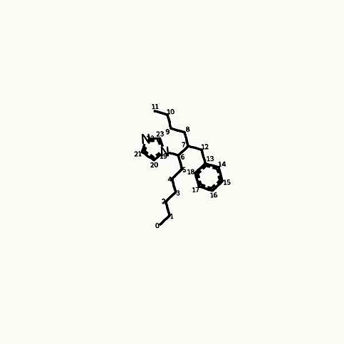 CCCCCCC(C(CCCC)Cc1ccccc1)n1ccnc1